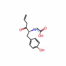 C=CCC(=O)[C@@H](N)Cc1ccc(O)cc1.CC(=O)O